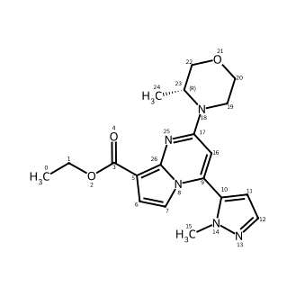 CCOC(=O)c1ccn2c(-c3ccnn3C)cc(N3CCOC[C@H]3C)nc12